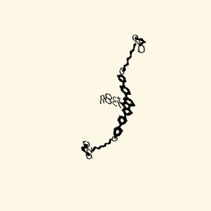 CCCCCCCCC1(CCCCCCCC)c2cc(-c3ccc(-c4ccc(OCCCCCCCCN5C(=O)C=CC5=O)cc4)cc3)ccc2-c2ccc(-c3ccc(-c4ccc(OCCCCCCCCN5C(=O)C=CC5=O)cc4)cc3)cc21